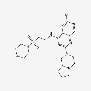 O=S(=O)(CCNc1nc(N2CCN3CCCC3C2)nc2cnc(Cl)cc12)N1CCOCC1